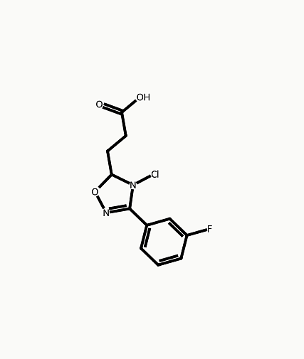 O=C(O)CCC1ON=C(c2cccc(F)c2)N1Cl